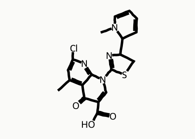 Cc1cc(Cl)nc2c1c(=O)c(C(=O)O)cn2C1=NC(C2C=CC=CN2C)CS1